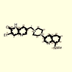 CCc1cc2ncc(CN3CCN(c4cnc5c(NC)cccc5c4)CC3)cc2[nH]c1=O